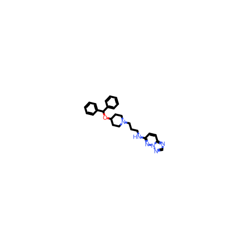 c1ccc(C(OC2CCN(CCCNc3ccc4ncnn4n3)CC2)c2ccccc2)cc1